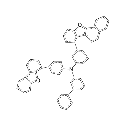 c1ccc(-c2cccc(N(c3ccc(-c4cccc5c4oc4ccccc45)cc3)c3cccc(-c4cccc5oc6c7ccccc7ccc6c45)c3)c2)cc1